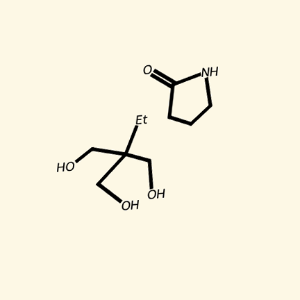 CCC(CO)(CO)CO.O=C1CCCN1